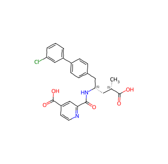 C[C@@H](C[C@@H](Cc1ccc(-c2cccc(Cl)c2)cc1)NC(=O)c1cc(C(=O)O)ccn1)C(=O)O